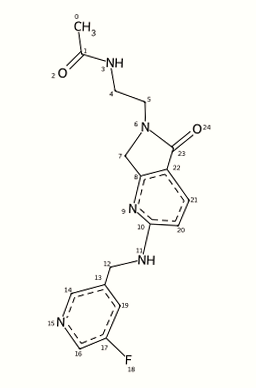 CC(=O)NCCN1Cc2nc(NCc3cncc(F)c3)ccc2C1=O